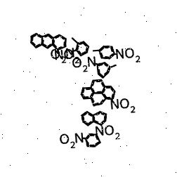 Cc1ccc([N+](=O)[O-])cc1.Cc1cccc([N+](=O)[O-])c1.Cc1ccccc1[N+](=O)[O-].O=[N+]([O-])c1ccc2ccc3cccc4ccc1c2c34.O=[N+]([O-])c1cccc2cc3ccccc3cc12.O=[N+]([O-])c1cccc2ccccc12.O=[N+]([O-])c1ccccc1